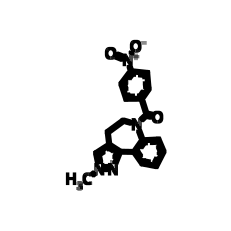 Cn1cc2c(n1)-c1ccccc1N(C(=O)c1ccc([N+](=O)[O-])cc1)CC2